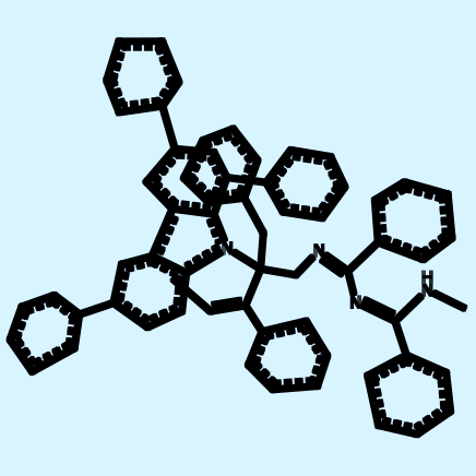 C/C=C(/c1ccccc1)C(C/N=C(\N=C(/NC)c1ccccc1)c1ccccc1)(Cc1ccccc1)n1c2ccc(-c3ccccc3)cc2c2cc(-c3ccccc3)cc(-c3ccccc3)c21